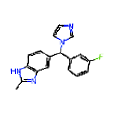 Cc1nc2cc(C(c3cccc(F)c3)n3ccnc3)ccc2[nH]1